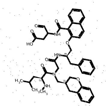 CN[C@@H](CC(C)C)C(=O)N(CC(=O)N[C@@H](COc1ccc2ccccc2c1C(=O)NC(C=O)CC(=O)O)Cc1ccccc1)C[C@H]1COc2ccccc2C1